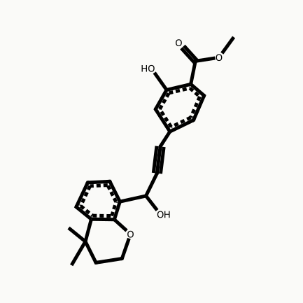 COC(=O)c1ccc(C#CC(O)c2cccc3c2OCCC3(C)C)cc1O